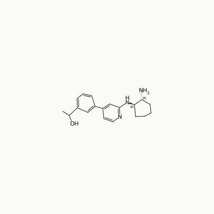 CC(O)c1cccc(-c2ccnc(N[C@@H]3CCCC[C@H]3N)c2)c1